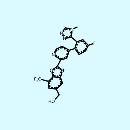 Cn1cnnc1-c1cc(F)ccc1-c1ccnc(-c2nc3cc(CO)cc(C(F)(F)F)c3o2)c1